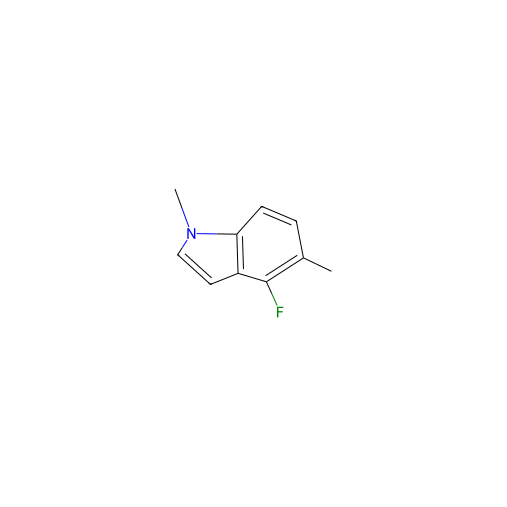 Cc1ccc2c(ccn2C)c1F